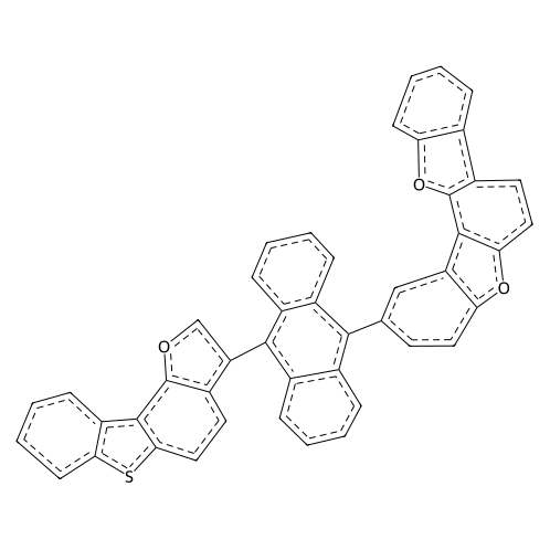 c1ccc2c(c1)oc1c2ccc2oc3ccc(-c4c5ccccc5c(-c5coc6c5ccc5sc7ccccc7c56)c5ccccc45)cc3c21